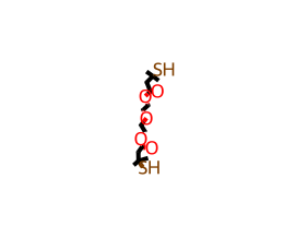 CC(C)(S)CC(=O)OCCOCCOC(=O)CC(C)(C)S